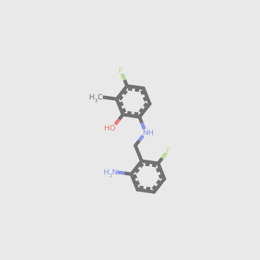 Cc1c(F)ccc(NCc2c(N)cccc2F)c1O